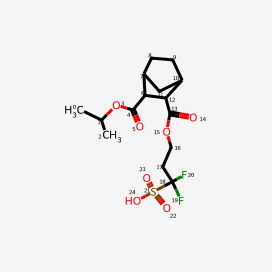 CC(C)OC(=O)C1C2CCC(C2)C1C(=O)OCCC(F)(F)S(=O)(=O)O